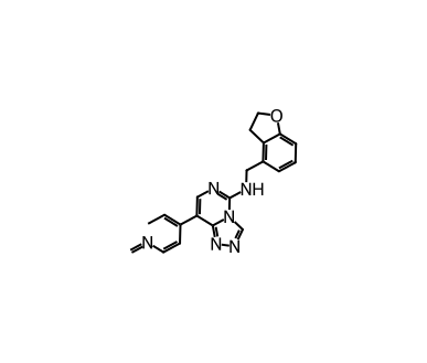 C=N/C=C\C(=C/C)c1cnc(NCc2cccc3c2CCO3)n2cnnc12